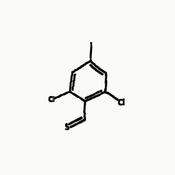 Cc1cc(Cl)c(C=S)c(Cl)c1